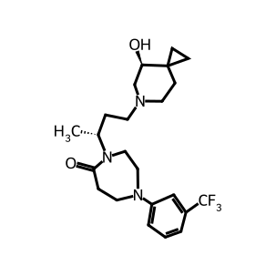 C[C@H](CCN1CCC2(CC2)[C@H](O)C1)N1CCN(c2cccc(C(F)(F)F)c2)CCC1=O